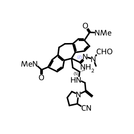 C=C(CN[C@@H](C)CC1(/C(N)=N/N(C)C=O)c2ccc(C(=O)NC)cc2CCc2cc(C(=O)NC)ccc21)N1CCCC1C#N